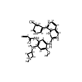 C=CC(=O)Nc1cc(Nc2ncc3ccnc(-c4cncc(Cl)c4)c3n2)c(OC)cc1N(C)C1CN(C)C1